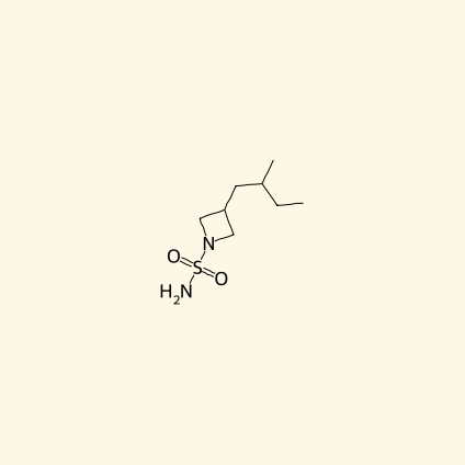 CCC(C)CC1CN(S(N)(=O)=O)C1